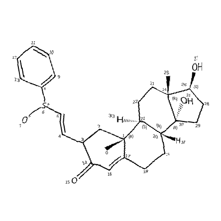 C[C@]12CC(C=C[S+]([O-])c3ccccc3)C(=O)C=C1CC[C@@H]1[C@@H]2CC[C@]2(C)[C@@H](O)CC[C@@]12O